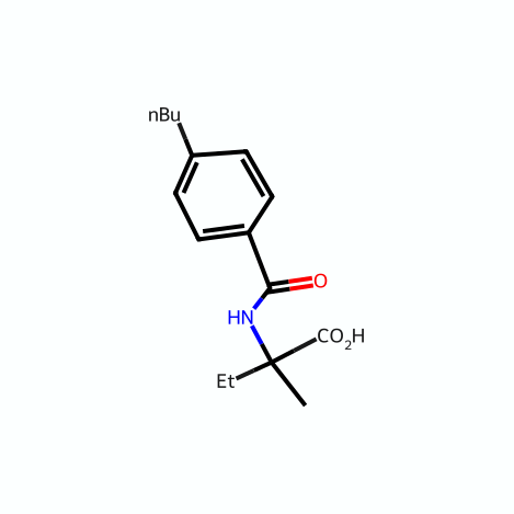 CCCCc1ccc(C(=O)NC(C)(CC)C(=O)O)cc1